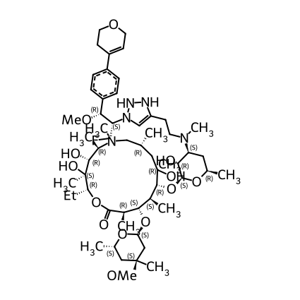 CC[C@H]1OC(=O)[C@H](C)[C@@H](O[C@H]2C[C@@](C)(OC)C[C@H](C)O2)[C@H](C)[C@@H](O[C@@H]2O[C@H](C)C[C@H](N(C)CCC3=CN([C@H](CF)[C@H](OC)c4ccc(C5=CCOCC5)cc4)NN3)[C@H]2O)[C@](C)(O)C[C@@H](C)CN(C)[C@H](C)[C@@H](O)[C@]1(C)O